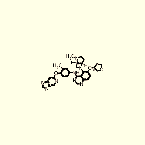 Cc1cc(Nc2ncnc3ccc(O[C@H]4CCOC4)c(N4C[C@@H]5[C@H]4CCN5C)c23)ccc1Oc1cc2ncnn2cn1